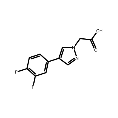 O=C(O)Cn1cc(-c2ccc(F)c(F)c2)cn1